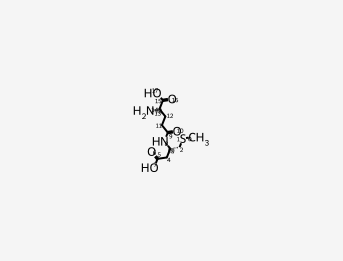 CSC[C@H](CC(=O)O)NC(=O)CC[C@H](N)C(=O)O